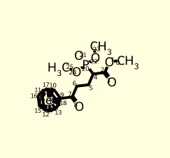 COC(=O)C(CCC(=O)[C]12[CH]3[CH]4[CH]5[CH]1[Fe]45321678[CH]2[CH]1[CH]6[CH]7[CH]28)P(=O)(OC)OC